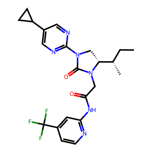 CC[C@H](C)[C@H]1CN(c2ncc(C3CC3)cn2)C(=O)N1CC(=O)Nc1cc(C(F)(F)F)ccn1